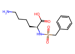 NCCCC[C@H](NS(=O)(=O)Cc1ccccc1)C(=O)O